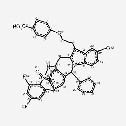 O=C(O)c1ccc(OCCc2c(CCNS(=O)(=O)c3c(F)cc(F)cc3F)n(C(c3ccccc3)c3ccccc3)c3ccc(Cl)cc23)cc1